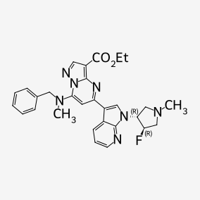 CCOC(=O)c1cnn2c(N(C)Cc3ccccc3)cc(-c3cn([C@@H]4CN(C)C[C@H]4F)c4ncccc34)nc12